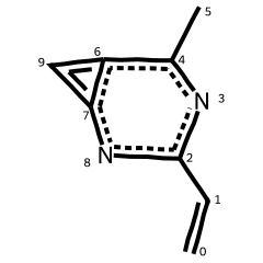 C=Cc1nc(C)c2c(n1)=C=2